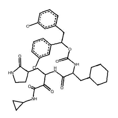 O=C(NC(CC1CCCCC1)C(=O)NC(CC1CCNC1=O)C(=O)C(=O)NC1CC1)OC(Cc1cccc(Cl)c1)c1cccc(Cl)c1